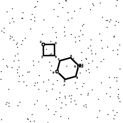 C1COC1.C1COCCN1